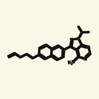 C=CCCCc1ccc2cc(-c3nn(C(C)C)c4ncnc(N)c34)ccc2c1